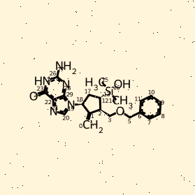 C=C1[C@H](COCc2ccccc2)[C@@H]([Si](C)(C)O)C[C@@H]1n1cnc2c(=O)[nH]c(N)nc21